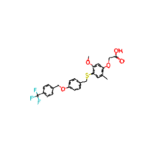 COc1cc(OCC(=O)O)c(C)cc1SCc1ccc(OCc2ccc(C(F)(F)F)cc2)cc1